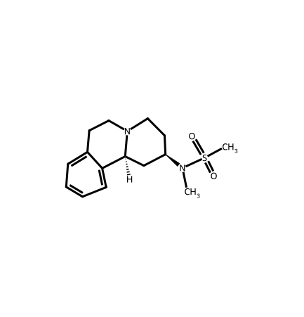 CN([C@@H]1CCN2CCc3ccccc3[C@@H]2C1)S(C)(=O)=O